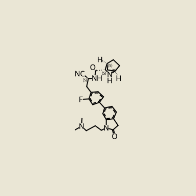 CN(C)CCCN1C(=O)Cc2ccc(-c3ccc(C[C@@H](C#N)NC(=O)[C@H]4N[C@@H]5CC[C@H]4C5)c(F)c3)cc21